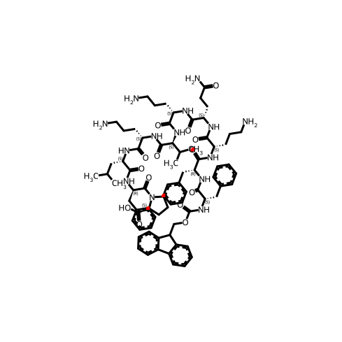 CC(C)C[C@H](NC(=O)[C@H](CCCN)NC(=O)[C@@H](NC(=O)[C@H](CCCN)NC(=O)[C@H](CCC(N)=O)NC(=O)[C@H](CCCN)NC(=O)[C@@H](Cc1ccccc1)NC(=O)[C@H](Cc1ccccc1)NC(=O)OCC1c2ccccc2-c2ccccc21)C(C)C)C(=O)N[C@H](Cc1ccccc1)C(=O)N1CCC[C@H]1C(=O)O